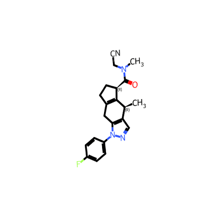 C[C@@H]1C2=C(CC[C@H]2C(=O)N(C)CC#N)Cc2c1cnn2-c1ccc(F)cc1